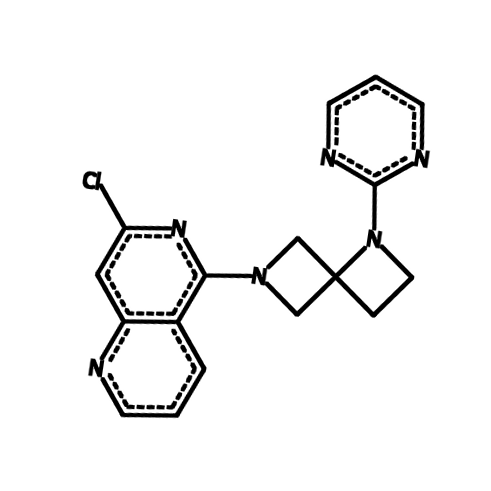 Clc1cc2ncccc2c(N2CC3(CCN3c3ncccn3)C2)n1